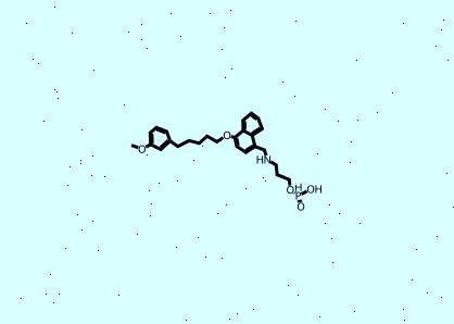 COc1cccc(CCCCCOc2ccc(CNCCCO[PH](=O)O)c3ccccc23)c1